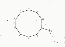 [CH2]CC1CCC/C=C\CCCC1